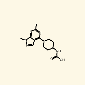 Cc1nc(N2CCC(NC(=O)O)CC2)c2cnn(C)c2n1